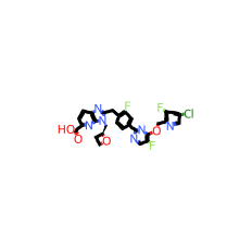 O=C(O)c1ccc2nc(Cc3ccc(-c4ncc(F)c(OCc5ncc(Cl)cc5F)n4)cc3F)n(C[C@@H]3CCO3)c2n1